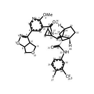 COc1ncc(C2=NOC3COCC23)cc1C(=O)N[C@H]1[C@@H](C(=O)Nc2ccc(F)c(C(F)(F)F)c2)[C@H]2CC[C@@H]1/C2=C\C1CC1